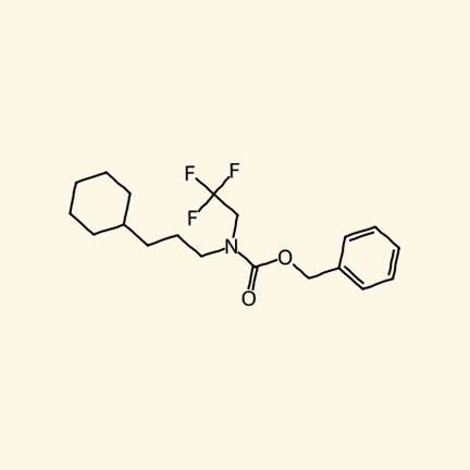 O=C(OCc1ccccc1)N(CCCC1CCCCC1)CC(F)(F)F